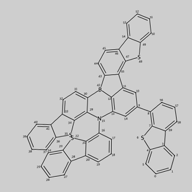 c1ccc2c(c1)sc1c(-c3cc4c5c(c3)N(c3cccc6c3sc3ccccc36)c3c(ccc6c3sc3ccccc36)B5c3ccc5c(sc6ccccc65)c3-4)cccc12